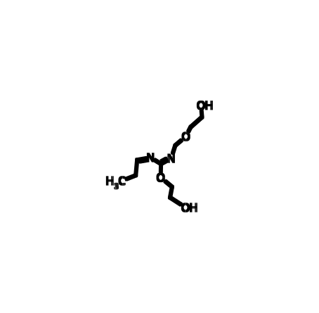 CC/C=N\C(=N/COCCO)OCCO